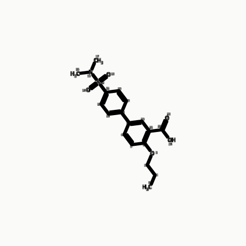 CCCOc1ccc(-c2ccc(S(=O)(=O)N(C)C)cc2)cc1C(=O)O